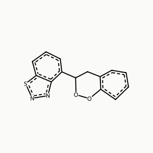 c1ccc2c(c1)C[C](c1cccc3snnc13)OO2